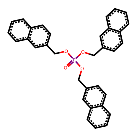 O=P(OCc1ccc2ccccc2c1)(OCc1ccc2ccccc2c1)OCc1ccc2ccccc2c1